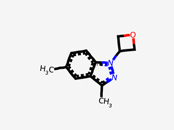 Cc1ccc2c(c1)c(C)nn2C1COC1